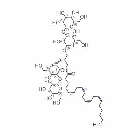 CCCCC/C=C\C/C=C\C/C=C\C/C=C\CCCC(=O)OCC(CO[C@@H]1O[C@H](CO)[C@@H](O)[C@H](O[C@@H]2O[C@H](CO)[C@@H](O)[C@H](O)[C@H]2O)[C@H]1O)O[C@@H]1O[C@H](CO)[C@@H](O)[C@H](O[C@@H]2O[C@H](CO)[C@@H](O)[C@H](O)[C@H]2O)[C@H]1O